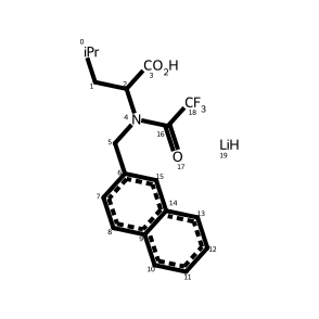 CC(C)CC(C(=O)O)N(Cc1ccc2ccccc2c1)C(=O)C(F)(F)F.[LiH]